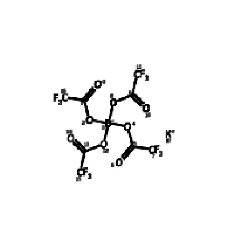 O=C(O[B-](OC(=O)C(F)(F)F)(OC(=O)C(F)(F)F)OC(=O)C(F)(F)F)C(F)(F)F.[K+]